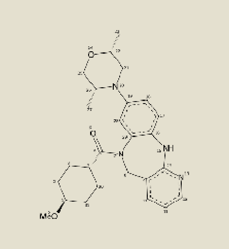 CO[C@H]1CC[C@H](C(=O)N2Cc3cccnc3Nc3ccc(N4C[C@@H](C)OC[C@H]4C)cc32)CC1